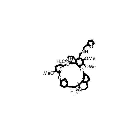 COc1ccc2cc1Oc1ccc(cc1)C[C@H]1c3cc(ccc3CCN1C)Oc1c(OC)c(OC)c(CNCc3ccco3)c3c1[C@H](C2)N(C)CC3